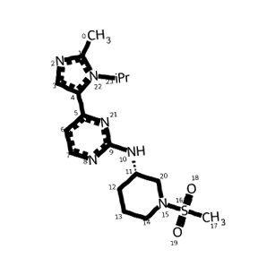 Cc1ncc(-c2ccnc(N[C@H]3CCCN(S(C)(=O)=O)C3)n2)n1C(C)C